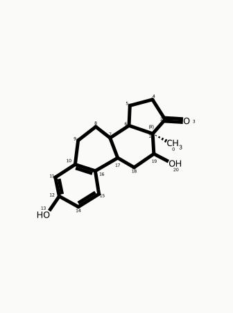 C[C@@]12C(=O)CCC1C1CCc3cc(O)ccc3C1CC2O